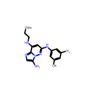 COCCNc1cc(Nc2cc(C#N)cc(C(F)(F)F)c2)nn2c(N)cnc12